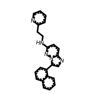 c1ccc(CCNc2ccc3ncc(-c4cccc5ccccc45)n3n2)nc1